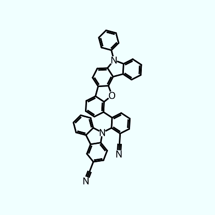 N#Cc1ccc2c(c1)c1ccccc1n2-c1c(C#N)cccc1-c1cccc2c1oc1c2ccc2c1c1ccccc1n2-c1ccccc1